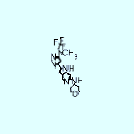 CN(CC(F)(F)F)c1cc(-c2cc3cnc(NC4CCOCC4)cc3[nH]2)ncn1